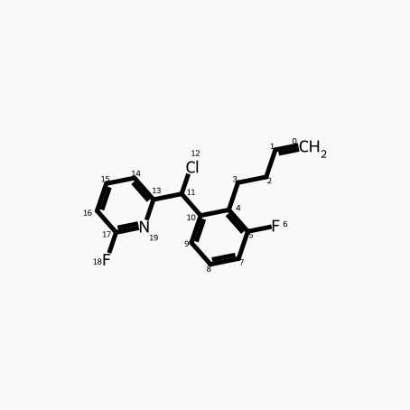 C=CCCc1c(F)cccc1C(Cl)c1cccc(F)n1